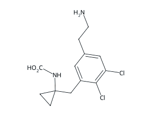 NCCc1cc(Cl)c(Cl)c(CC2(NC(=O)O)CC2)c1